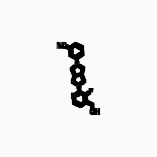 N#Cc1cccc(N2CC3CN(c4nccc(CO)c4F)CC3C2)c1